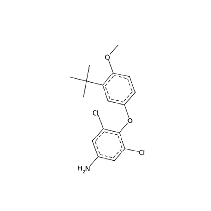 COc1ccc(Oc2c(Cl)cc(N)cc2Cl)cc1C(C)(C)C